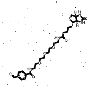 O=Cc1ccc(C(=O)NCCOCCOCCOCCNC(=O)CCCC[C@@H]2SC[C@@H]3NC(=O)N[C@@H]32)cc1